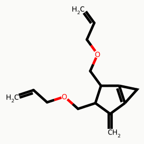 C=CCOCC1C(=C)C2=C(C2)C1COCC=C